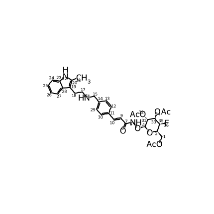 CC(=O)OC[C@H]1O[C@@H](ONC(=O)/C=C/c2ccc(CNCCc3c(C)[nH]c4ccccc34)cc2)[C@H](OC(C)=O)[C@@H](OC(C)=O)[C@H]1F